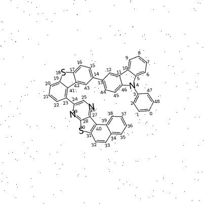 c1ccc(-n2c3ccccc3c3cc(-c4ccc5sc6cccc(-c7cnc8c(n7)sc7ccc9ccccc9c78)c6c5c4)ccc32)cc1